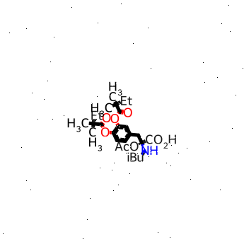 CCC(C)N[C@@](Cc1ccc(OC(=O)C(C)(C)CC)c(OC(=O)C(C)(C)CC)c1)(OC(C)=O)C(=O)O